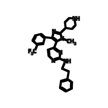 Cn1c(C2CCNCC2)nc(-c2cccc(C(F)(F)F)c2)c1-c1ccnc(NCCc2ccccc2)n1